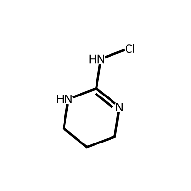 ClNC1=NCCCN1